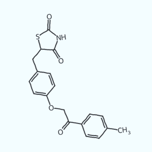 Cc1ccc(C(=O)COc2ccc(CC3SC(=O)NC3=O)cc2)cc1